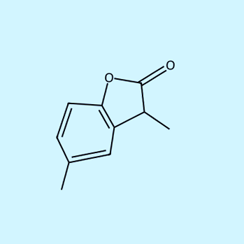 Cc1ccc2c(c1)C(C)C(=O)O2